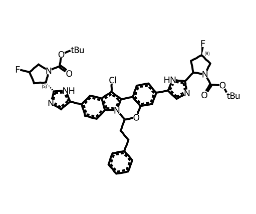 CC(C)(C)OC(=O)N1C[C@H](F)CC1c1ncc(-c2ccc3c(c2)OC(CCc2ccccc2)n2c-3c(Cl)c3cc(-c4cnc([C@@H]5CC(F)CN5C(=O)OC(C)(C)C)[nH]4)ccc32)[nH]1